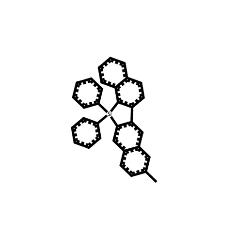 Cc1ccc2cc3c(cc2c1)-c1ccc2ccccc2c1[Si]3(c1ccccc1)c1ccccc1